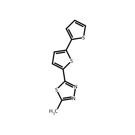 Cc1nnc(-c2ccc(-c3cccs3)s2)s1